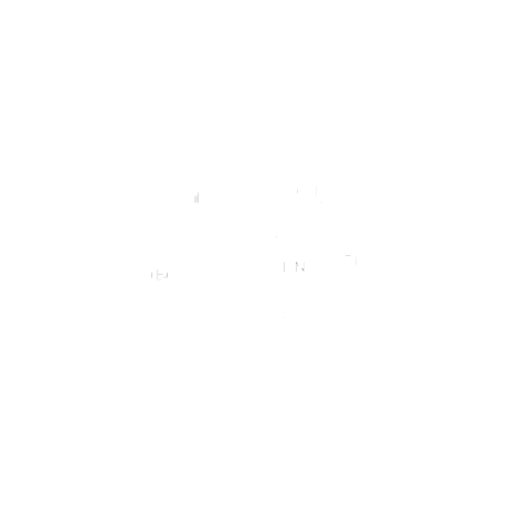 C=C(NCC)C(/C(=C\C)C(C)(C)C)C(C)C